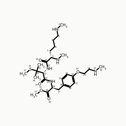 CNCCCC[C@H](NC)C(=O)N[C@H](C(=O)N[C@@H](Cc1ccc(OCCNC)cc1)C(=O)OC)C(C)(C)SC